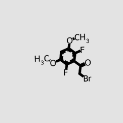 COc1cc(OC)c(F)c(C(=O)CBr)c1F